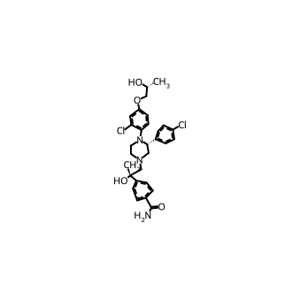 C[C@@H](O)COc1ccc(N2CCN(C[C@@](C)(O)c3ccc(C(N)=O)cc3)C[C@H]2c2ccc(Cl)cc2)c(Cl)c1